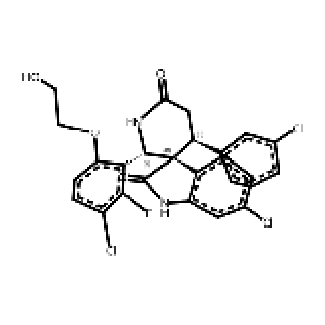 O=C1C[C@@H](c2cccc(Cl)c2)[C@]2(C(=O)Nc3cc(Cl)ccc32)[C@H](c2c(OCCO)ccc(Cl)c2F)N1